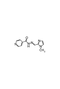 Cn1ccnc1C=NNC(=O)c1ccncc1